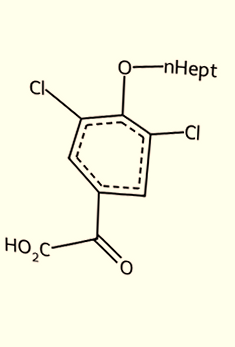 CCCCCCCOc1c(Cl)cc(C(=O)C(=O)O)cc1Cl